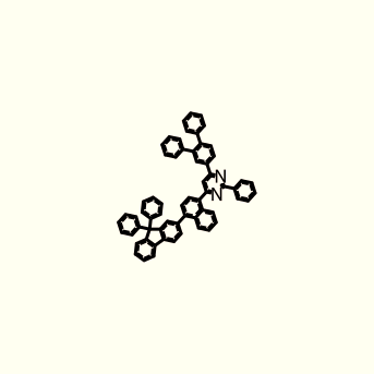 c1ccc(-c2nc(-c3ccc(-c4ccccc4)c(-c4ccccc4)c3)cc(-c3ccc(-c4ccc5c(c4)C(c4ccccc4)(c4ccccc4)c4ccccc4-5)c4ccccc34)n2)cc1